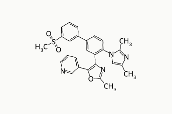 Cc1cn(-c2ccc(-c3cccc(S(C)(=O)=O)c3)cc2-c2nc(C)oc2-c2cccnc2)c(C)n1